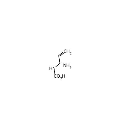 C=CCNC(=O)O.N